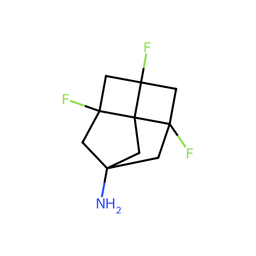 NC12CC3(F)CC4(F)CC(F)(C1)C34C2